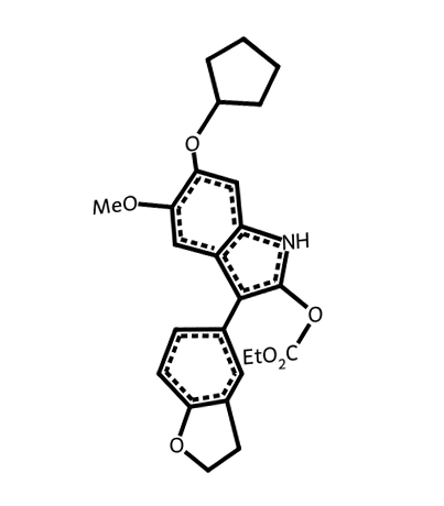 CCOC(=O)Oc1[nH]c2cc(OC3CCCC3)c(OC)cc2c1-c1ccc2c(c1)CCO2